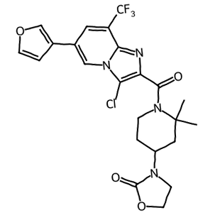 CC1(C)CC(N2CCOC2=O)CCN1C(=O)c1nc2c(C(F)(F)F)cc(-c3ccoc3)cn2c1Cl